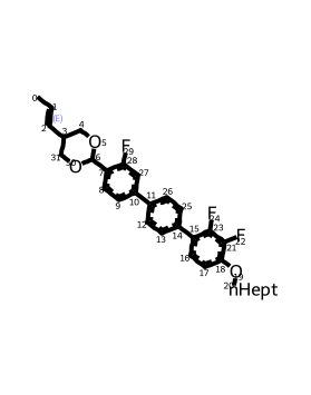 C/C=C/C1COC(c2ccc(-c3ccc(-c4ccc(OCCCCCCC)c(F)c4F)cc3)cc2F)OC1